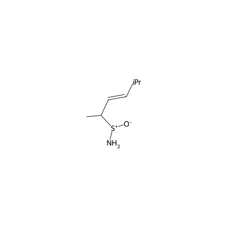 CC(C)C=CC(C)[S+](N)[O-]